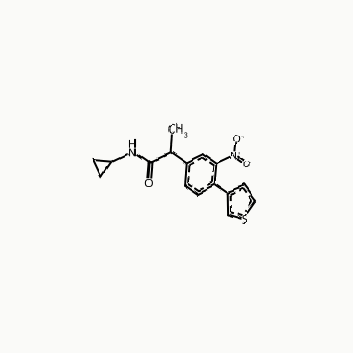 CC(C(=O)NC1CC1)c1ccc(-c2ccsc2)c([N+](=O)[O-])c1